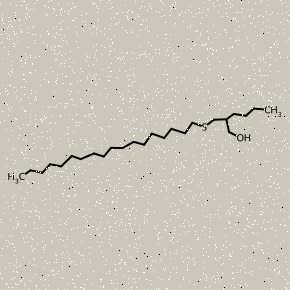 CCCCCCCCCCCCCCCCCCSCC(CO)CCCC